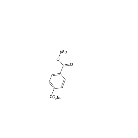 CCCCOC(=O)c1ccc(C(=O)OCC)cc1